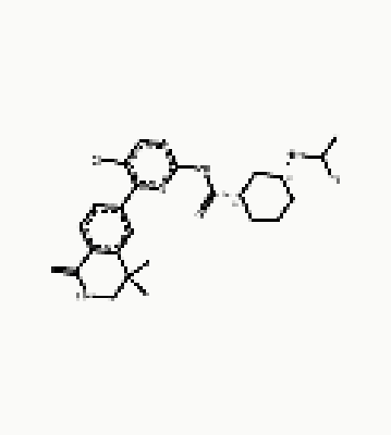 CC(O)N[C@@H]1CCC[C@H](C(=O)Nc2ncc(Cl)c(-c3ccc4c(c3)C(C)(C)CNC4=O)n2)C1